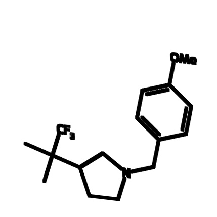 COc1ccc(CN2CCC(C(C)(C)C(F)(F)F)C2)cc1